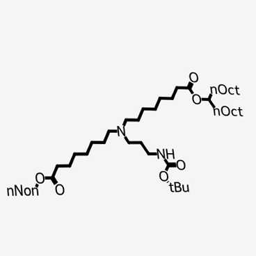 CCCCCCCCCOC(=O)CCCCCCCN(CCCCCCCC(=O)OC(CCCCCCCC)CCCCCCCC)CCCNC(=O)OC(C)(C)C